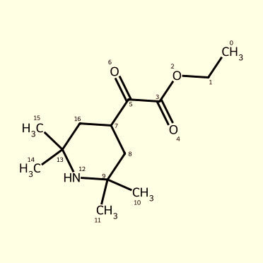 CCOC(=O)C(=O)C1CC(C)(C)NC(C)(C)C1